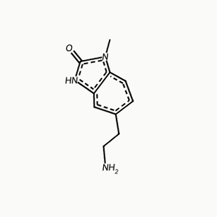 Cn1c(=O)[nH]c2cc(CCN)ccc21